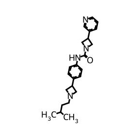 CC(C)CCN1CC(c2ccc(NC(=O)N3CC(c4cccnc4)C3)cc2)C1